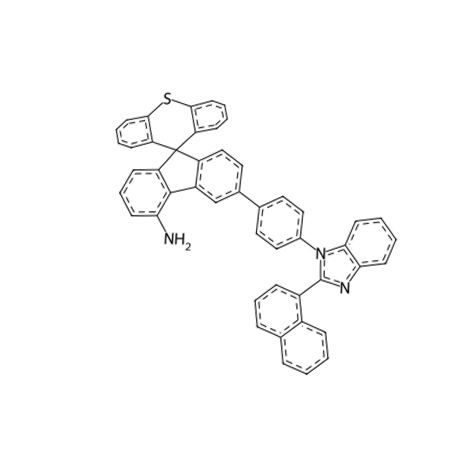 Nc1cccc2c1-c1cc(-c3ccc(-n4c(-c5cccc6ccccc56)nc5ccccc54)cc3)ccc1C21c2ccccc2Sc2ccccc21